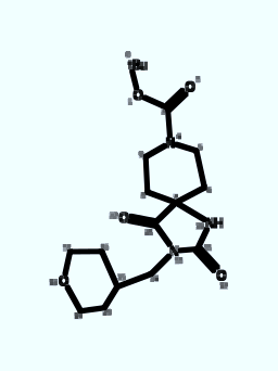 CC(C)(C)OC(=O)N1CCC2(CC1)NC(=O)N(CC1CCOCC1)C2=O